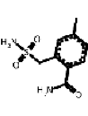 Cc1ccc(C(N)=O)c(CS(N)(=O)=O)c1